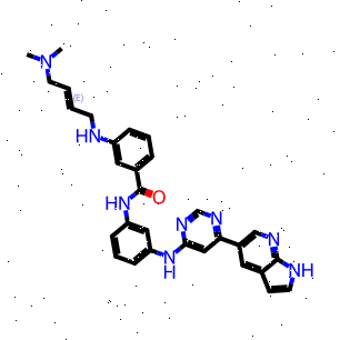 CN(C)C/C=C/CNc1cccc(C(=O)Nc2cccc(Nc3cc(-c4cnc5[nH]ccc5c4)ncn3)c2)c1